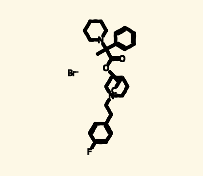 CC(C(=O)OC1C[N+]2(CCc3ccc(F)cc3)CCC1CC2)(c1ccccc1)N1CCCCC1.[Br-]